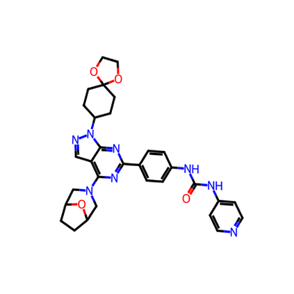 O=C(Nc1ccncc1)Nc1ccc(-c2nc(N3CC4CCC(C3)O4)c3cnn(C4CCC5(CC4)OCCO5)c3n2)cc1